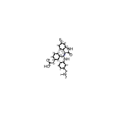 CN(C)Cc1cccc(N/C(=C2\C(=O)Nc3cc(F)ccc32)c2cccc(CC(=O)O)c2)c1